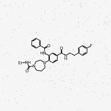 CCNC(=O)N1CCCN(c2ccc(C(=O)NCCc3ccc(F)cc3)cc2NC(=O)c2ccccc2)CC1